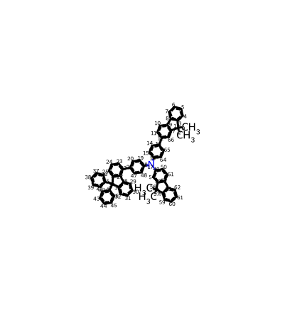 CC1(C)c2ccccc2-c2ccc(-c3ccc(N(c4ccc(-c5cccc6c5-c5ccccc5C6(c5ccccc5)c5ccccc5)cc4)c4ccc5c(c4)C(C)(C)c4ccccc4-5)cc3)cc21